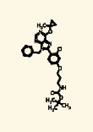 CC(C)(C)OC(=O)NCCCOc1ccc(-c2nc3c(OC4(C)CC4)ncnc3n2Cc2ccccc2)c(Cl)c1